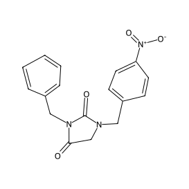 O=C1CN(Cc2ccc([N+](=O)[O-])cc2)C(=O)N1Cc1ccccc1